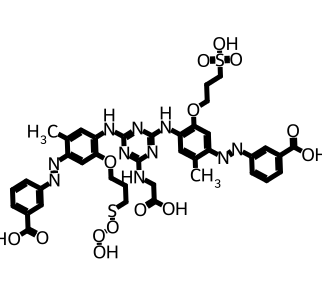 Cc1cc(Nc2nc(NCC(=O)O)nc(Nc3cc(C)c(N=Nc4cccc(C(=O)O)c4)cc3OCCCS(=O)(=O)O)n2)c(OCCCSOOO)cc1N=Nc1cccc(C(=O)O)c1